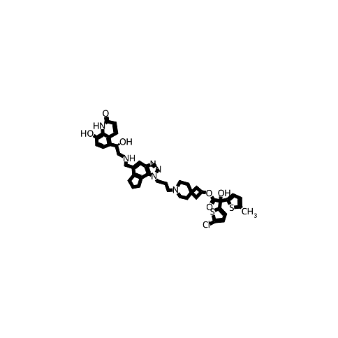 Cc1ccc(C(O)(C(=O)OC2CC3(CCN(CCCn4nnc5cc(CNC[C@H](O)c6ccc(O)c7[nH]c(=O)ccc67)c6c(c54)CCC6)CC3)C2)c2ccc(Cl)s2)s1